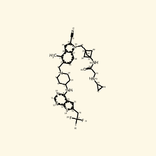 Cc1c(CN2CCC(Nc3ncnc4sc(CC(F)(F)F)cc34)CC2)ccc2c1cc(C#N)n2CC12CC(NC(=O)CNC3CC3)(C1)C2